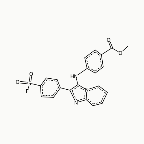 COC(=O)c1ccc(Nc2c(-c3ccc(S(=O)(=O)F)cc3)nc3ccccn23)cc1